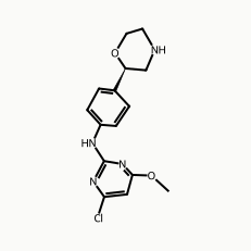 COc1cc(Cl)nc(Nc2ccc([C@@H]3CNCCO3)cc2)n1